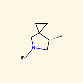 CC(C)N1C[C@@H](C)C2(CC2)C1